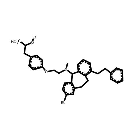 CCOC(Cc1ccc(OCCN(C)C2c3ccc(CC)cc3CCc3c(CCc4ccccc4)cccc32)cc1)C(=O)O